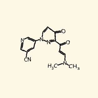 CN(C)C=CC(=O)c1nn(-c2cncc(C#N)c2)ccc1=O